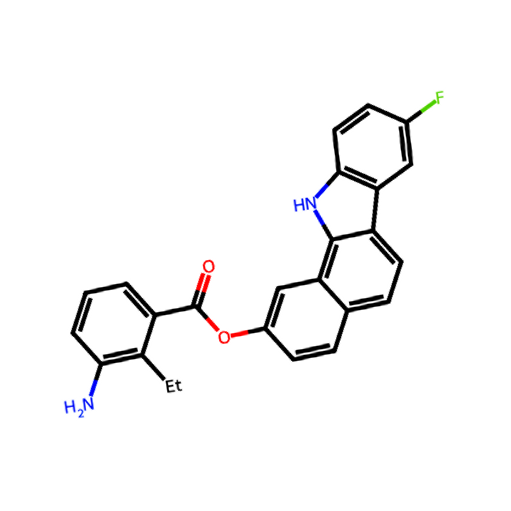 CCc1c(N)cccc1C(=O)Oc1ccc2ccc3c4cc(F)ccc4[nH]c3c2c1